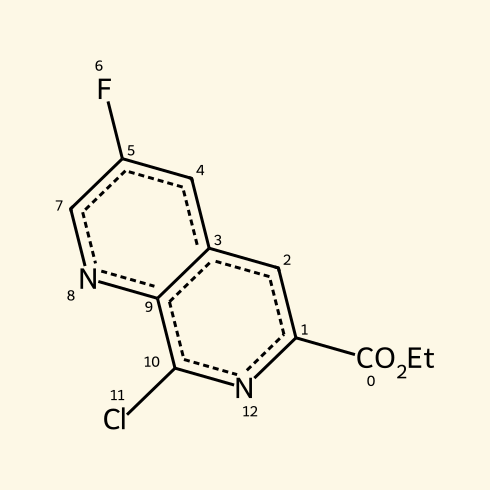 CCOC(=O)c1cc2cc(F)cnc2c(Cl)n1